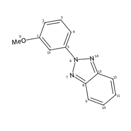 COc1[c]ccc(-n2nc3ccccc3n2)c1